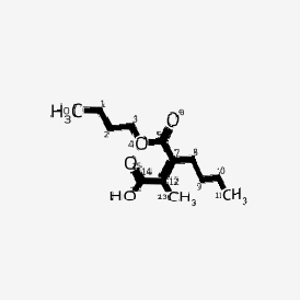 CCCCOC(=O)C(CCCC)=C(C)C(=O)O